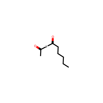 CCCCC[C](=O)[Ir][C](C)=O